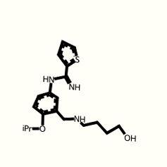 CC(C)Oc1ccc(NC(=N)c2cccs2)cc1CNCCCCO